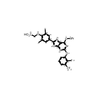 CCCOc1nc(Oc2cccc(C(F)(F)F)c2F)nc2oc(-c3cc(C)c(OCC(=O)O)c(C)c3)nc12